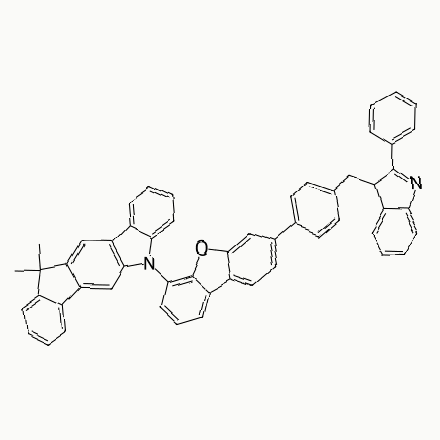 CC1(C)c2ccccc2-c2cc3c(cc21)c1ccccc1n3-c1cccc2c1oc1cc(-c3ccc(CC4C(c5ccccc5)=Nc5ccccc54)cc3)ccc12